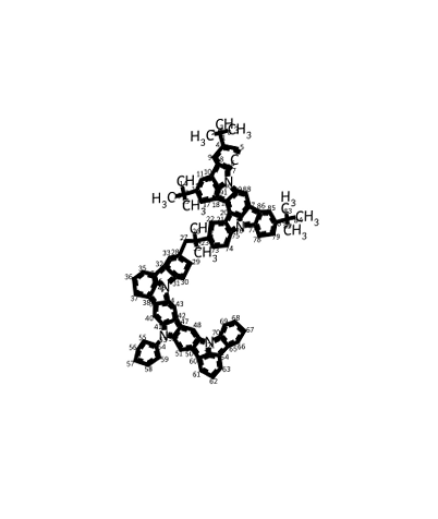 CC(C)(C)c1ccc2c(c1)c1cc(C(C)(C)C)cc3c4c5c6cc(C(C)(C)Cc7ccc8c(c7)c7cccc9c%10cc%11c(cc%10n8c79)c7cc8c(cc7n%11-c7ccccc7)c7cccc9c%10ccccc%10n8c97)ccc6n6c7ccc(C(C)(C)C)cc7c(cc4n2c13)c56